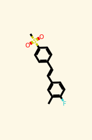 Cc1cc(/C=C/c2ccc(S(C)(=O)=O)cc2)ccc1F